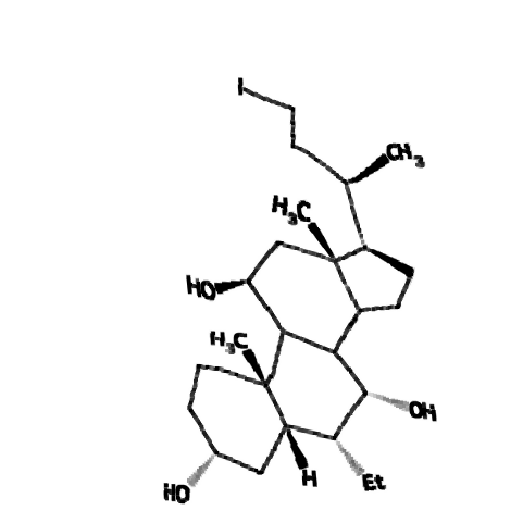 CC[C@H]1[C@@H](O)C2C3CC[C@H]([C@H](C)CCI)[C@@]3(C)C[C@H](O)C2[C@@]2(C)CC[C@@H](O)C[C@@H]12